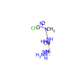 CN(CCCCCN/C(=N/CCSCc1csc(NC(=N)N)n1)NC#N)CCC(c1ccc(Cl)cc1)c1ccccn1